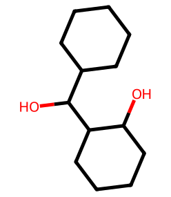 OC1CCCCC1C(O)C1CCCCC1